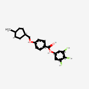 CC1CCC(COc2ccc(C(=O)Oc3cc(F)c(F)c(F)c3)cc2)CC1